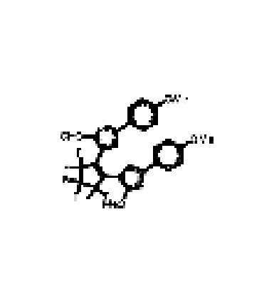 COc1ccc(-c2cc(C3=C(c4cc(-c5ccc(OC)cc5)sc4OC)C(F)(F)C(F)(F)C3(F)F)c(C=O)s2)cc1